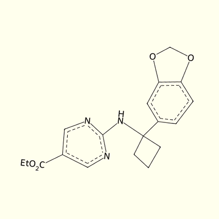 CCOC(=O)c1cnc(NC2(c3ccc4c(c3)OCO4)CCC2)nc1